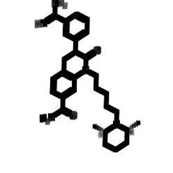 C[C@@H]1CCC[C@H](C)N1CCCCCN1C(=O)C(c2cccc(C(=N)N)c2)Cc2ccc(C(N)=O)cc21